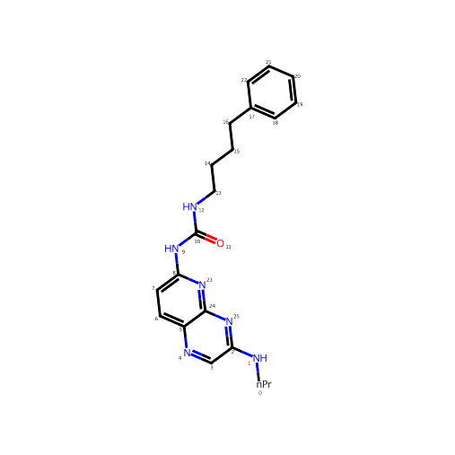 CCCNc1cnc2ccc(NC(=O)NCCCCc3ccccc3)nc2n1